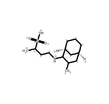 CC1C[C@@H]2CCC[C@@H](C2)C1NCCC(C)S(=O)(=O)O